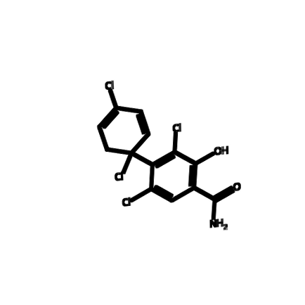 NC(=O)c1cc(Cl)c(C2(Cl)C=CC(Cl)=CC2)c(Cl)c1O